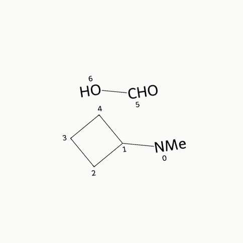 CNC1CCC1.O=CO